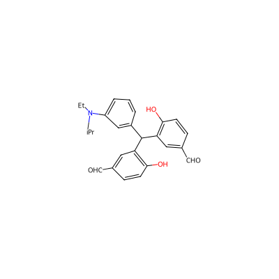 CCN(c1cccc(C(c2cc(C=O)ccc2O)c2cc(C=O)ccc2O)c1)C(C)C